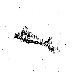 CCC(NC(=O)OC)C(=O)N1CC(C#N)CC1c1ncc(-c2ccc(-c3ccc4cc(-c5cnc(C6CC7(CC7)CN6C(=O)CC(C)CNC(=O)OC)[nH]5)ccc4c3)cc2)[nH]1